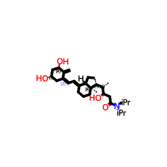 C=C1/C(=C\C=C2CCC[C@]3(C)[C@@H]([C@H](C)C(O)CC(=O)N(C(C)C)C(C)C)CC[C@@H]23)C[C@H](O)C[C@H]1O